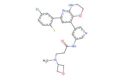 CN(CCC(=O)Nc1cncc(-c2cc(-c3cc(Cl)ccc3F)nc3c2OCCN3)c1)C1COC1